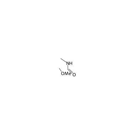 CNC=O.COC